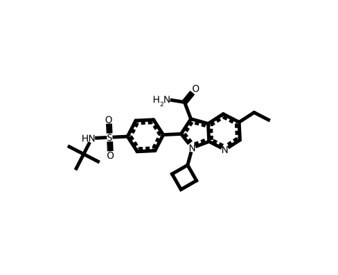 CCc1cnc2c(c1)c(C(N)=O)c(-c1ccc(S(=O)(=O)NC(C)(C)C)cc1)n2C1CCC1